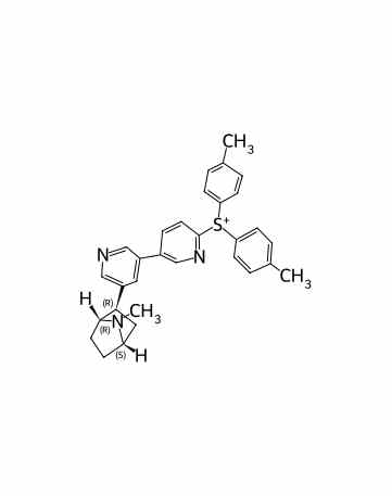 Cc1ccc([S+](c2ccc(C)cc2)c2ccc(-c3cncc([C@H]4C[C@@H]5CC[C@H]4N5C)c3)cn2)cc1